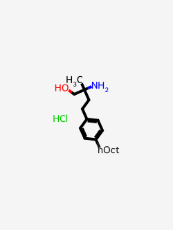 CCCCCCCCc1ccc(CCC(C)(N)CO)cc1.Cl